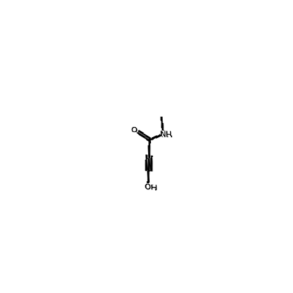 CNC(=O)C#CO